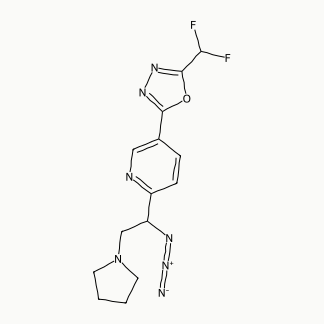 [N-]=[N+]=NC(CN1CCCC1)c1ccc(-c2nnc(C(F)F)o2)cn1